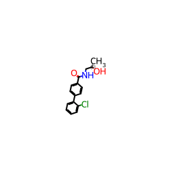 C[C@H](O)CNC(=O)c1ccc(-c2ccccc2Cl)cc1